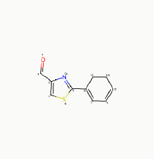 O=Cc1csc(C2=CC=CCC2)n1